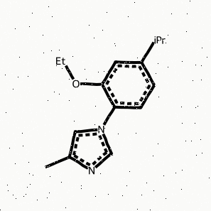 CCOc1cc(C(C)C)ccc1-n1cnc(C)c1